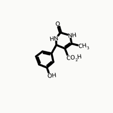 CC1=C(C(=O)O)C(c2cccc(O)c2)NC(=O)N1